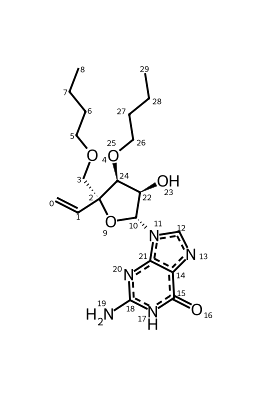 C=C[C@]1(COCCCC)O[C@@H](n2cnc3c(=O)[nH]c(N)nc32)[C@H](O)[C@@H]1OCCCC